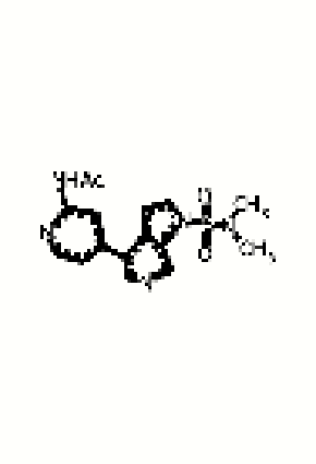 CC(=O)Nc1cc(-c2cncc3c2ccn3S(=O)(=O)N(C)C)ccn1